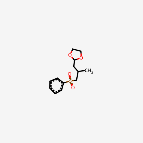 CC(CC1OCCO1)CS(=O)(=O)c1ccccc1